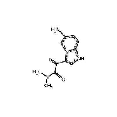 CN(C)C(=O)C(=O)c1c[nH]c2ccc(N)cc12